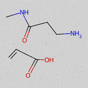 C=CC(=O)O.CNC(=O)CCN